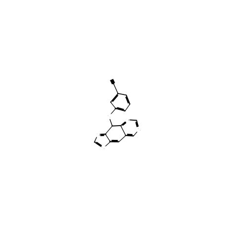 C#Cc1cccc(NC2C3=NC=NC3=Cc3cncnc32)c1.Cl